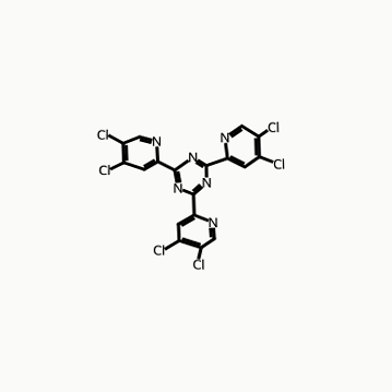 Clc1cnc(-c2nc(-c3cc(Cl)c(Cl)cn3)nc(-c3cc(Cl)c(Cl)cn3)n2)cc1Cl